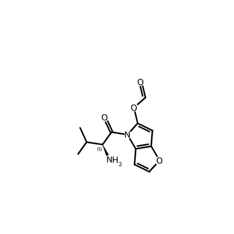 CC(C)[C@H](N)C(=O)n1c(OC=O)cc2occc21